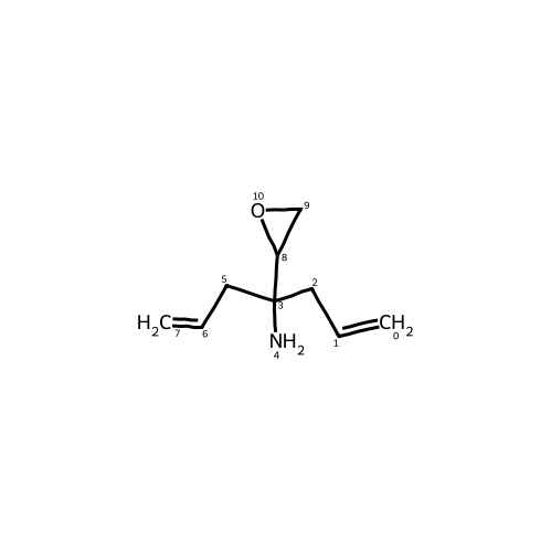 C=CCC(N)(CC=C)C1CO1